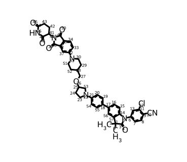 CC1(C)C(=O)N(c2ccc(C#N)c(Cl)c2)c2ccc(-c3ccc(N4CCC(OCC5CCN(c6ccc7c(c6)C(=O)N(C6CCC(=O)NC6=O)C7=O)CC5)C4)cc3)cc21